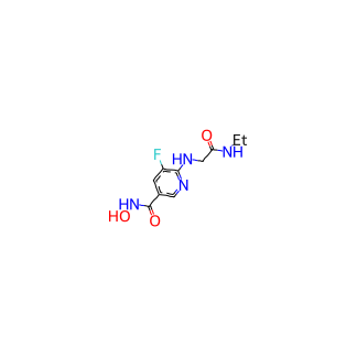 CCNC(=O)CNc1ncc(C(=O)NO)cc1F